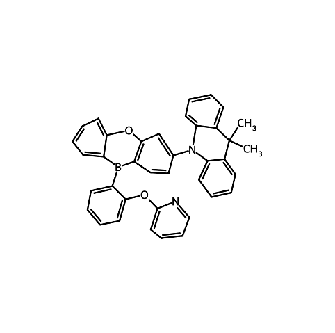 CC1(C)c2ccccc2N(c2ccc3c(c2)Oc2ccccc2B3c2ccccc2Oc2ccccn2)c2ccccc21